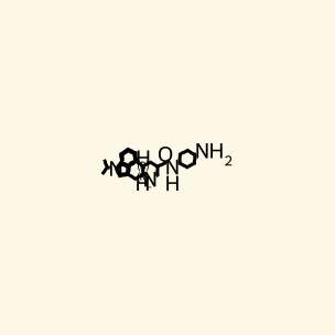 CC(C)n1cc2c3c(cccc31)[C@H]1CC(C(=O)NC3CCC(N)CC3)CN(C)[C@@H]1C2